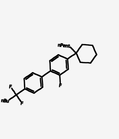 CCCCCC1(c2ccc(-c3ccc(C(F)(F)CCCC)cc3)c(F)c2)CCCCC1